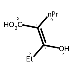 CCCC(C(=O)O)=C(O)CC